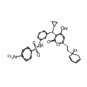 CCC1(CCc2cc(O)c(C(c3cccc(NS(=O)(=O)c4ccc([N+](=O)[O-])cc4)c3)C3CC3)c(=O)o2)C=CC=CC1